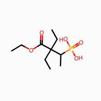 CCOC(=O)C(CC)(CC)C(C)P(=O)(O)O